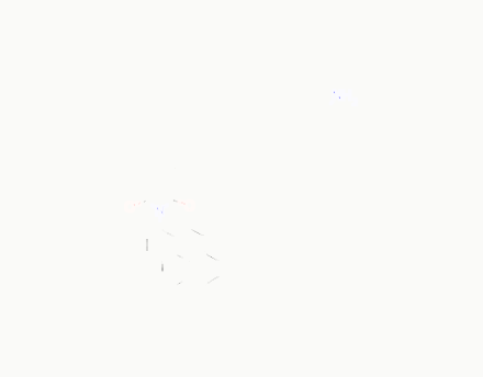 NCCCCCCCCCCCSC1CC(=O)N(c2ccc3ccc4cccc5ccc2c3c45)C1=O